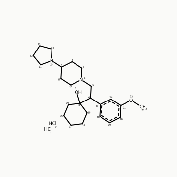 Cl.Cl.OC1(C(CN2CCC(N3CCCC3)CC2)c2cccc(OC(F)(F)F)c2)CCCCC1